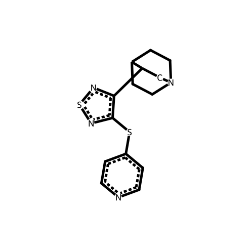 c1cc(Sc2nsnc2C2CN3CCC2CC3)ccn1